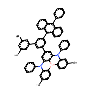 CC(C)(C)c1cc(-c2cc(-c3cc4c5c(c3)N(c3ccccc3)c3cc(C(C)(C)C)ccc3B5c3ccc(C(C)(C)C)cc3N4c3ccccc3)cc(-c3c4ccccc4c(-c4ccccc4)c4ccccc34)c2)cc(C(C)(C)C)c1